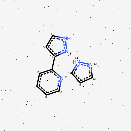 c1ccc(-c2cc[nH]n2)nc1.c1cn[nH]c1